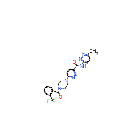 Cc1ccc(NC(=O)c2ccc(N3CCN(C(=O)c4ccccc4C(F)(F)F)CC3)nn2)nn1